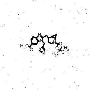 CC(=O)c1ccc2nc(CC3CCN(C(=O)OC(C)(C)C)C4CC34)n(Cc3cncs3)c2c1